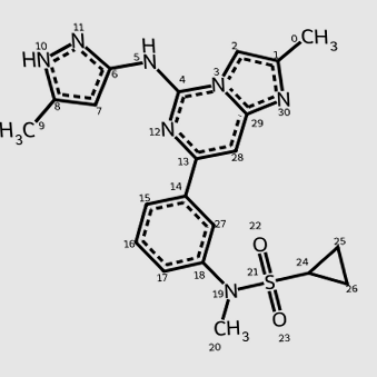 Cc1cn2c(Nc3cc(C)[nH]n3)nc(-c3cccc(N(C)S(=O)(=O)C4CC4)c3)cc2n1